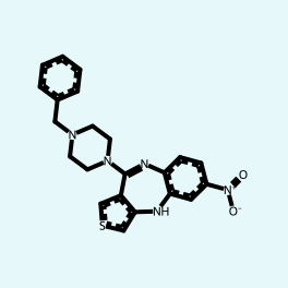 O=[N+]([O-])c1ccc2c(c1)Nc1cscc1C(N1CCN(Cc3ccccc3)CC1)=N2